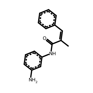 CC(=Cc1ccccc1)C(=O)Nc1cccc(N)c1